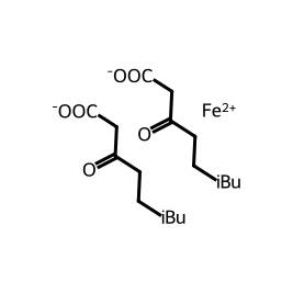 CCC(C)CCC(=O)CC(=O)[O-].CCC(C)CCC(=O)CC(=O)[O-].[Fe+2]